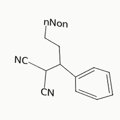 CCCCCCCCCCCC(c1ccccc1)C(C#N)C#N